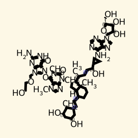 C=C1/C(=C\C=C2/CCC[C@]3(C)[C@@H]([C@H](C)/C=C/[C@@H](O)C4CC4)CC[C@@H]23)C[C@@H](O)C[C@@H]1O.Cn1c(=O)c2c(ncn2C)n(C)c1=O.Nc1nc2c(ncn2COCCO)c(=O)[nH]1.Nc1ncnc2c1ncn2[C@@H]1O[C@H](CO)[C@@H](O)[C@H]1O